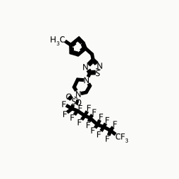 Cc1ccc(Cc2nsc(N3CCN(S(=O)(=O)C(F)(F)C(F)(F)C(F)(F)C(F)(F)C(F)(F)C(F)(F)C(F)(F)C(F)(F)F)CC3)n2)cc1